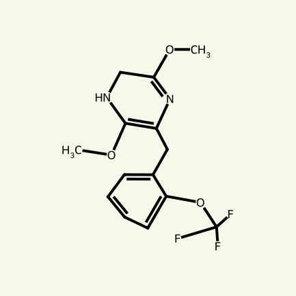 COC1=NC(Cc2ccccc2OC(F)(F)F)=C(OC)NC1